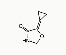 O=C1NCOC1=C1CC1